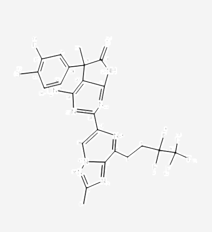 Cc1nc2c(CCC(F)(F)C(F)(F)F)nc(-c3nc(N)c4c(n3)NC(=O)C4(C)c3ccc(Cl)c(F)c3)cn2n1